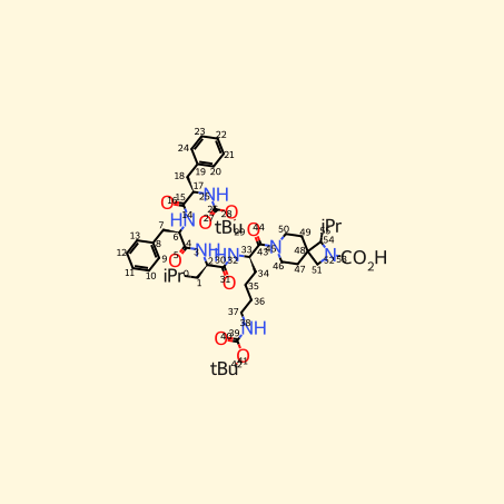 CC(C)C[C@@H](NC(=O)[C@@H](Cc1ccccc1)NC(=O)[C@@H](Cc1ccccc1)NC(=O)OC(C)(C)C)C(=O)N[C@H](CCCCNC(=O)OC(C)(C)C)C(=O)N1CCC2(CC1)CN(C(=O)O)C2C(C)C